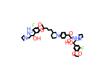 N[C@H](CN1CCC1)[C@H](O)c1cc(F)c2c(c1)OC(CCCC1CCCN(c3ccc(C(=O)C(=O)N[C@H](CN4CCC4)[C@H](O)c4cc(F)c5c(c4)OCCO5)cc3)C1)CO2